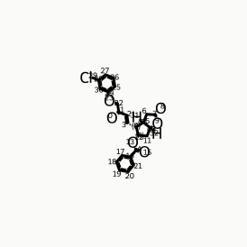 O=C(C=C[C@@H]1[C@H]2CC(=O)O[C@H]2C[C@H]1OC(=O)c1ccccc1)COc1cccc(Cl)c1